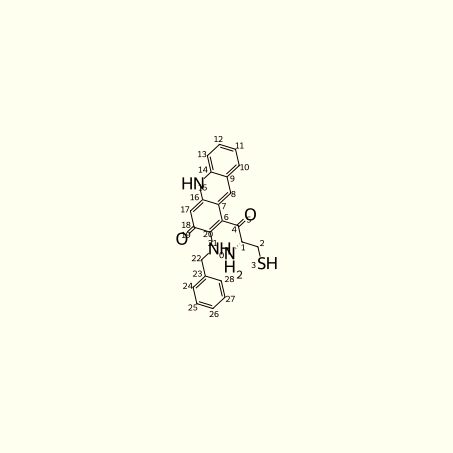 N[C@@H](CS)C(=O)c1c2cc3ccccc3[nH]c-2cc(=O)c1NCc1ccccc1